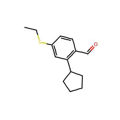 CCSc1ccc([C]=O)c(C2CCCC2)c1